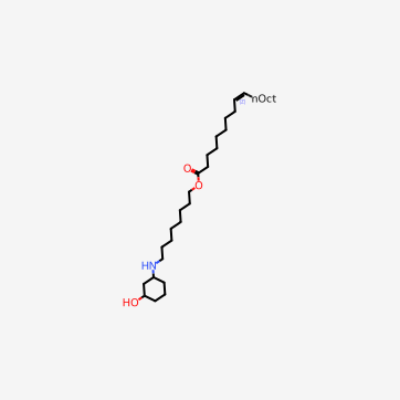 CCCCCCCC/C=C\CCCCCCCC(=O)OCCCCCCCCNC1CCCC(O)C1